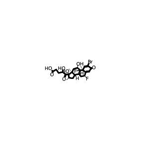 C[C@H]1C[C@H]2[C@@H]3C[C@@H](F)C4=CC(=O)C(Br)=C[C@]4(C)[C@@]3(F)[C@@H](O)C[C@]2(C)[C@@]1(O)C(=O)C(O)CCC(=O)O